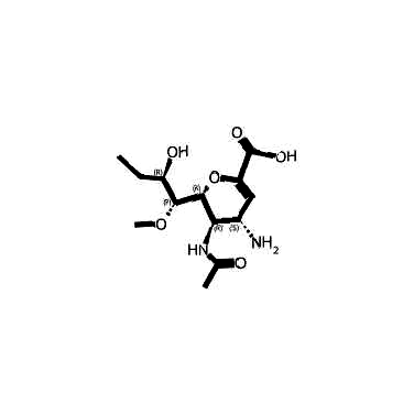 CC[C@@H](O)[C@@H](OC)[C@@H]1OC(C(=O)O)=C[C@H](N)[C@H]1NC(C)=O